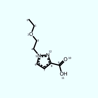 CCOCCn1ccc(C(=O)O)n1